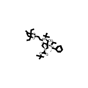 CCC1(CC)OB(CCC[C@H]2CN(C(=O)OC(C)(C)C)C[C@]2(C(=O)NC(C)(C)C)N(C(C)=O)[C@@H](C)c2ccccc2)OC1(CC)CC